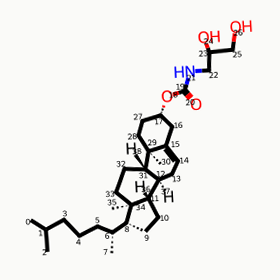 CC(C)CCC[C@@H](C)[C@H]1CC[C@H]2[C@@H]3CC=C4C[C@@H](OC(=O)NCC(O)CO)CC[C@]4(C)[C@H]3CC[C@]12C